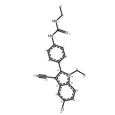 CCNC(=O)Nc1ccc(-c2c(C#N)c3cc(Cl)ccc3n2CC)cc1